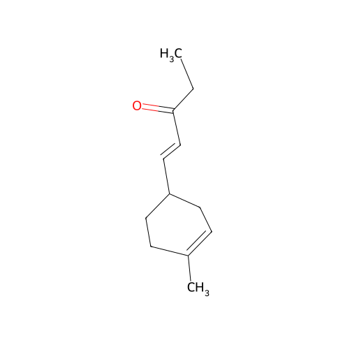 CCC(=O)/C=C/C1CC=C(C)CC1